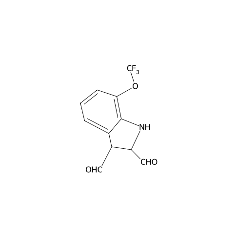 O=CC1Nc2c(OC(F)(F)F)cccc2C1C=O